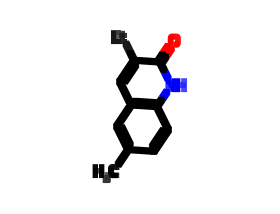 CCc1cc2cc(C)ccc2[nH]c1=O